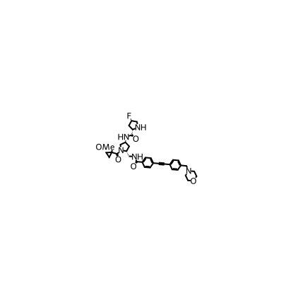 COC1(C(=O)N2C[C@H](NC(=O)[C@@H]3C[C@H](F)CN3)C[C@@H]2CNC(=O)c2ccc(C#Cc3ccc(CN4CCOCC4)cc3)cc2)CC1